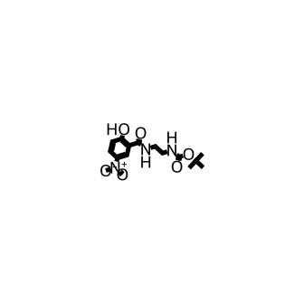 CC(C)(C)OC(=O)NCCNC(=O)c1cc([N+](=O)[O-])ccc1O